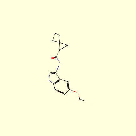 CCOc1ccc2[nH]cc(NC(=O)C3CC34CCC4)c2c1